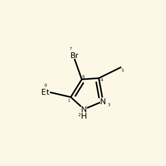 CCc1[nH]nc(C)c1Br